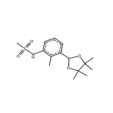 Cc1c(NS(C)(=O)=O)cccc1B1OC(C)(C)C(C)(C)O1